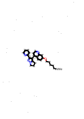 CNCCCCCOc1ccc2c(-c3c(-c4ccccn4)nn4c3CCC4)ccnc2c1